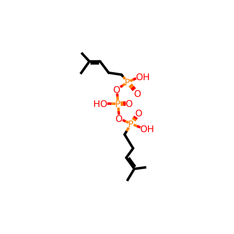 CC(C)=CCCP(=O)(O)OP(=O)(O)OP(=O)(O)CCC=C(C)C